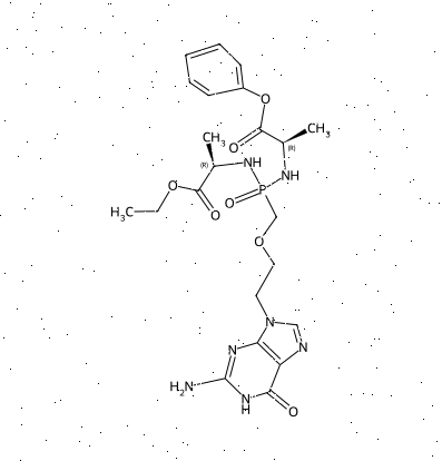 CCOC(=O)[C@@H](C)NP(=O)(COCCn1cnc2c(=O)[nH]c(N)nc21)N[C@H](C)C(=O)Oc1ccccc1